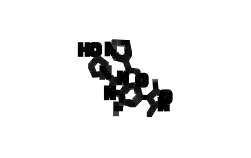 CC1=NOC(C)C1c1cc(F)c2nc(N3CCC(O)C3)n3c2c1OCC3c1cccnc1